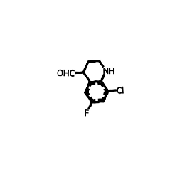 O=CC1CCNc2c(Cl)cc(F)cc21